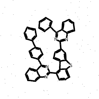 c1ccc(-c2ccc(-c3nc(-c4cccc5sc6cc(-c7nc(-c8ccccc8)c8ccccc8n7)ccc6c45)nc4ccccc34)cc2)cc1